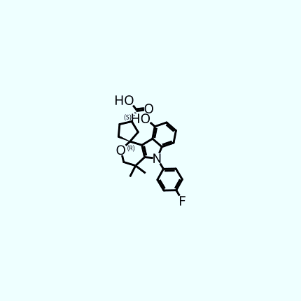 CC1(C)CO[C@@]2(CC[C@H](C(=O)O)C2)c2c1n(-c1ccc(F)cc1)c1cccc(O)c21